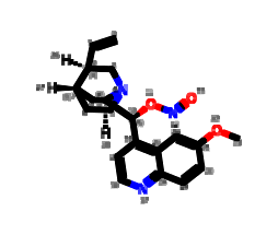 C=C[C@H]1CN2CC[C@H]1C[C@@H]2[C@@H](ON=O)c1ccnc2ccc(OC)cc12